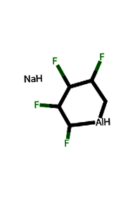 FC1[CH2][AlH][CH](F)C(F)C1F.[NaH]